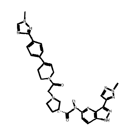 CCN(C(=O)[C@@H]1CCN(CC(=O)N2CC=C(c3ccc(-c4ncn(C)n4)cc3)CC2)C1)c1ccc2[nH]nc(-c3cnn(C)n3)c2n1